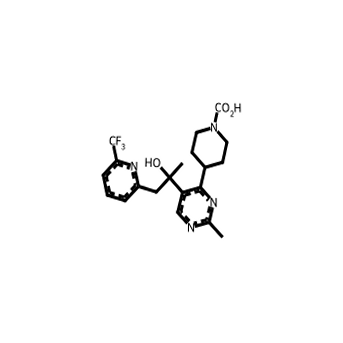 Cc1ncc(C(C)(O)Cc2cccc(C(F)(F)F)n2)c(C2CCN(C(=O)O)CC2)n1